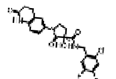 O=C1CCc2cc(N3CC[C@](O)(C(=O)NCc4cc(F)c(F)cc4Cl)C3=O)ccc2N1